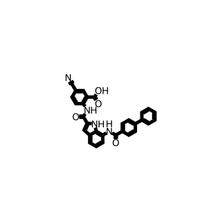 N#Cc1ccc(NC(=O)c2cc3cccc(NC(=O)c4ccc(-c5ccccc5)cc4)c3[nH]2)c(C(=O)O)c1